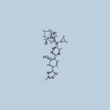 Cn1nnc(-c2ccc(-c3ncc(N(C4CC4)[C@@H]4C[C@H]5CCC[C@@H](C4)N5)nn3)c(O)c2)n1